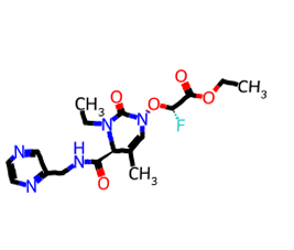 CCOC(=O)[C@H](F)ON1C=C(C)[C@@H](C(=O)NCc2cnccn2)N(CC)C1=O